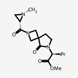 COC(=O)[C@H](C(C)C)N1CCC2(CN(C(=O)[C@@H]3C[N@]3C)C2)C1=O